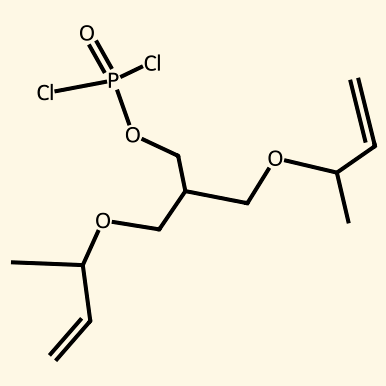 C=CC(C)OCC(COC(C)C=C)COP(=O)(Cl)Cl